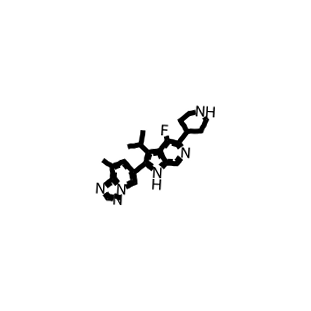 Cc1cc(-c2[nH]c3cnc(C4CCNCC4)c(F)c3c2C(C)C)cn2ncnc12